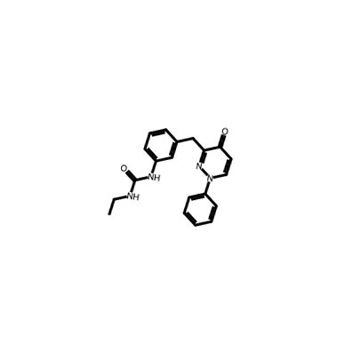 CCNC(=O)Nc1cccc(Cc2nn(-c3ccccc3)ccc2=O)c1